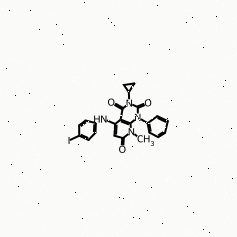 Cn1c(=O)cc(Nc2ccc(I)cc2)c2c(=O)n(C3CC3)c(=O)n(-c3ccccc3)c21